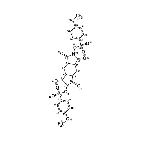 O=C1C2CC3C(=O)N(OS(=O)(=O)c4ccc(OC(F)(F)F)cc4)C(=O)C3CC2C(=O)N1OS(=O)(=O)c1ccc(OC(F)(F)F)cc1